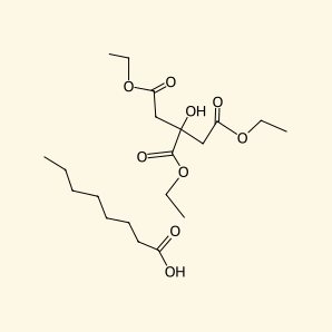 CCCCCCCC(=O)O.CCOC(=O)CC(O)(CC(=O)OCC)C(=O)OCC